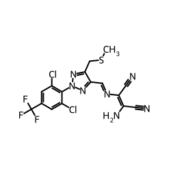 CSCc1nn(-c2c(Cl)cc(C(F)(F)F)cc2Cl)nc1C=NC(C#N)=C(N)C#N